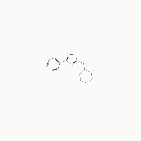 c1ccc(-c2noc(CC3CCNCC3)n2)cc1